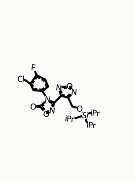 CC(C)[Si](OCc1nonc1-c1noc(=O)n1-c1ccc(F)c(Cl)c1)(C(C)C)C(C)C